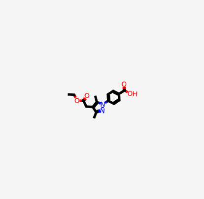 CCOC(=O)Cc1c(C)nn(-c2ccc(C(=O)O)cc2)c1C